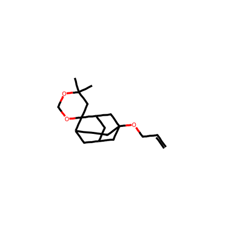 C=CCOC12CC3CC(C1)C1(CC(C)(C)OCO1)C(C3)C2